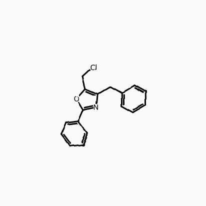 ClCc1oc(-c2ccccc2)nc1Cc1ccccc1